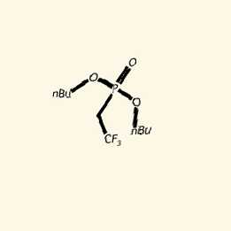 CCCCOP(=O)(CC(F)(F)F)OCCCC